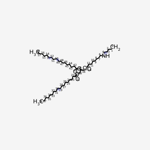 C=CC/C=C/NCCCCCCCC(=O)OCC(COC(=O)CCCCCCC/C=C/CCCCCCCC)OC(=O)CCCCCCC/C=C/C/C=C/CCCCC